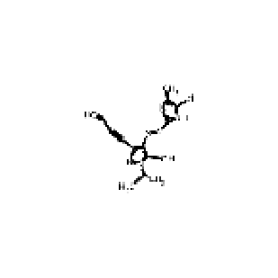 C#CC#Cc1nn(C(C)C)c(O)c1N=Nc1nc(C)c(Cl)[nH]1